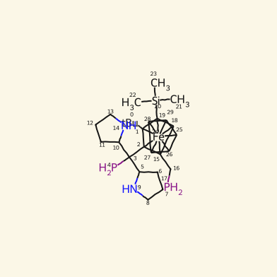 CC(C)(C)[C]12[C]3(C(P)(C4CCCN4)C4CCCN4)[C]4(CP)[CH]5[C]1([Si](C)(C)C)[Fe]54321678[CH]2[CH]1[CH]6[CH]7[CH]28